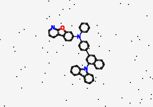 c1ccc(N(c2ccc(-c3cc(-n4c5ccccc5c5ccccc54)c4ccccc4c3)cc2)c2ccc3c(c2)oc2ncccc23)cc1